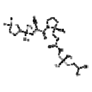 CC(C)(CCB(O)O)CNC(=O)OC[C@@]1(C)CCCN1C(=O)C(C#N)=CC(C)(C)N1CCC(F)(F)C1